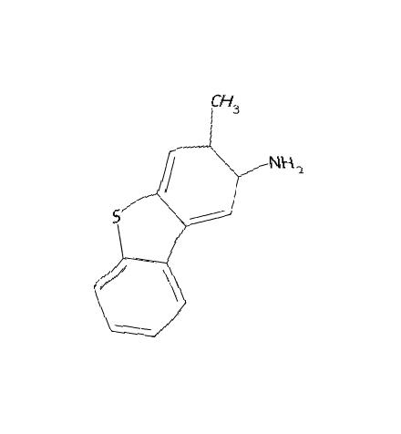 CC1C=c2sc3ccccc3c2=CC1N